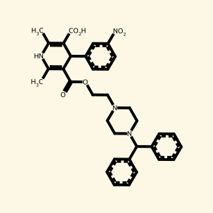 CC1=C(C(=O)O)C(c2cccc([N+](=O)[O-])c2)C(C(=O)OCCN2CCN(C(c3ccccc3)c3ccccc3)CC2)=C(C)N1